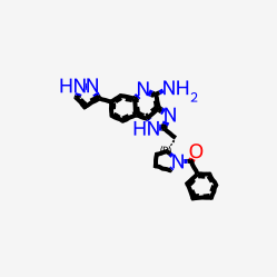 Nc1nc2cc(-c3cc[nH]n3)ccc2c2[nH]c(C[C@H]3CCCN3C(=O)c3ccccc3)nc12